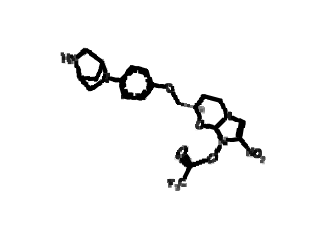 O=C(ON1C([N+](=O)[O-])=CN2CC[C@@H](COc3ccc(N4CC5CC4CN5)cc3)OC21)C(F)(F)F